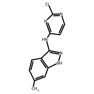 Cc1ccc2c(Nc3ccnc(Cl)n3)n[nH]c2c1